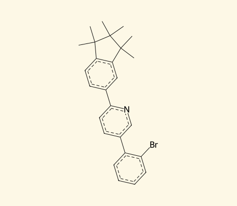 CC1(C)c2ccc(-c3ccc(-c4ccccc4Br)cn3)cc2C(C)(C)C1(C)C